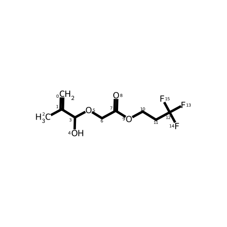 C=C(C)C(O)OCC(=O)OCCC(F)(F)F